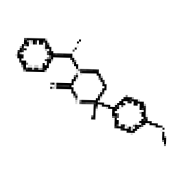 CSc1ccc(C2(C)CCN([C@@H](C)c3ccccc3)C(=O)O2)cc1